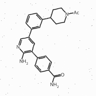 CC(=O)N1CCC(c2cccc(-c3cnc(N)c(-c4ccc(C(N)=O)cc4)c3)c2)CC1